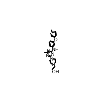 Cc1ccc(Oc2cccc(Nc3nc(C)nc(N4CCN(CCO)CC4)n3)c2)cn1